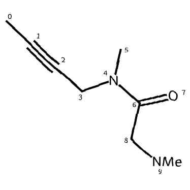 CC#CCN(C)C(=O)CNC